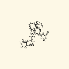 Cc1cnn2c(OCCc3c[nH]c4ccccc34)cc(-c3cncc(F)c3)nc12